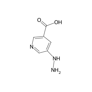 NNc1cncc(C(=O)O)c1